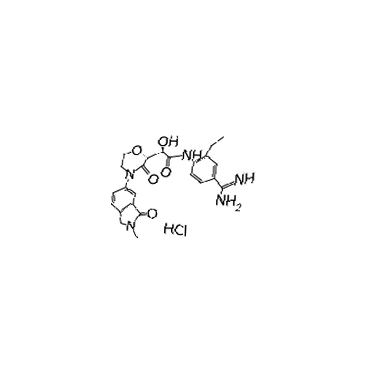 CCc1cc(C(=N)N)ccc1NC(=O)[C@H](O)[C@H]1OCCN(c2ccc3c(c2)C(=O)N(C)C3)C1=O.Cl